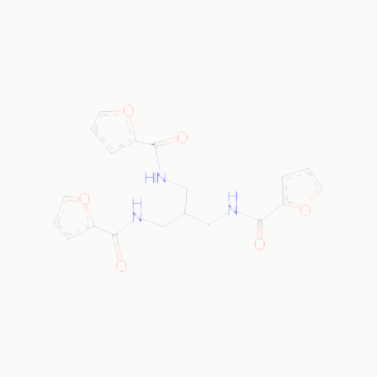 O=C(NCC(CNC(=O)c1ccco1)CNC(=O)c1ccco1)c1ccco1